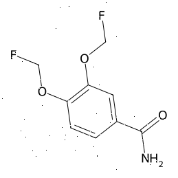 NC(=O)c1ccc(OCF)c(OCF)c1